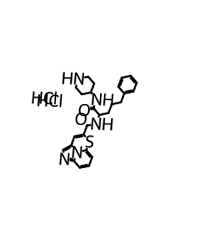 Cl.Cl.O=C(NC(CCCc1ccccc1)C(=O)NC1CCNCC1)C1=Cc2cnc3cccc(n23)S1